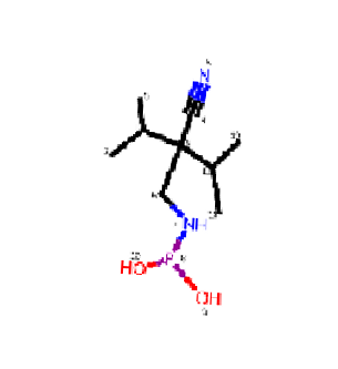 CC(C)C(C#N)(CNP(O)O)C(C)C